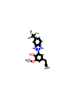 C#CCc1cc(OC)c(O)c(-n2nc3ccc(C(F)(F)F)cc3n2)c1